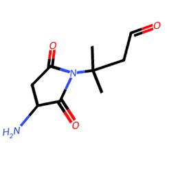 CC(C)(CC=O)N1C(=O)CC(N)C1=O